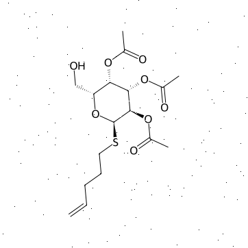 C=CCCCS[C@H]1O[C@H](CO)[C@H](OC(C)=O)[C@H](OC(C)=O)[C@H]1OC(C)=O